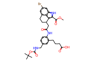 COC(=O)c1[nH]c2cc(Br)cc3c2c1C(CC(=O)Nc1ccc(CNC(=O)OC(C)(C)C)cc1CCCC(=O)O)CC3